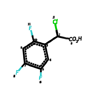 O=C(O)C(Cl)c1cc(F)c(F)cc1F